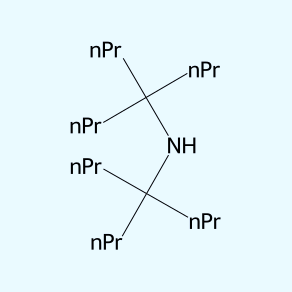 CCCC(CCC)(CCC)NC(CCC)(CCC)CCC